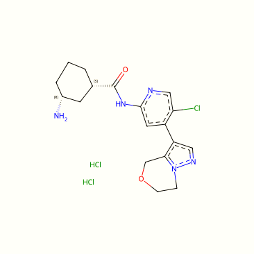 Cl.Cl.N[C@@H]1CCC[C@H](C(=O)Nc2cc(-c3cnn4c3COCC4)c(Cl)cn2)C1